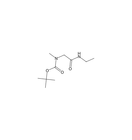 CCNC(=O)CN(C)C(=O)OC(C)(C)C